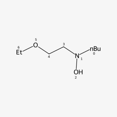 CCCCN(O)CCOCC